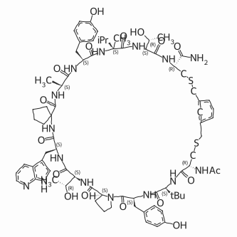 CC(=O)N[C@H]1CSCc2cccc(c2)CSC[C@@H](C(N)=O)NC(=O)[C@H]([C@@H](C)O)NC(=O)[C@](C)(C(C)C)NC(=O)[C@H](Cc2ccc(O)cc2)NC(=O)[C@H](C)NC(=O)C2(CCCC2)NC(=O)[C@H](Cc2c[nH]c3ncccc23)NC(=O)[C@H]([C@@H](C)O)NC(=O)[C@@H]2CCCN2C(=O)[C@H](Cc2ccc(O)cc2)NC(=O)[C@H](C(C)(C)C)NC1=O